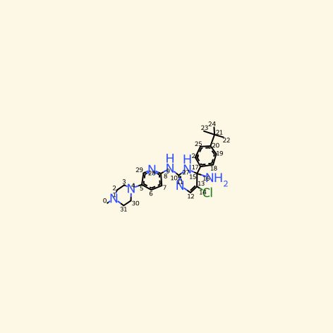 CN1CCN(c2ccc(NC3=NC=C(Cl)C(N)(c4ccc(C(C)(C)C)cc4)N3)nc2)CC1